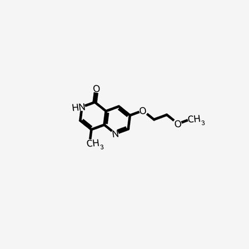 COCCOc1cnc2c(C)c[nH]c(=O)c2c1